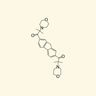 CC(C)(C(=O)c1ccc2c(c1)Cc1cc(C(=O)C(C)(C)N3CCOCC3)ccc1-2)N1CCOCC1